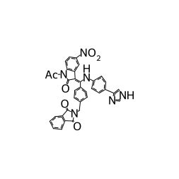 CC(=O)N1C(=O)C(=C(Nc2ccc(-c3c[nH]cn3)cc2)c2ccc(CN3C(=O)c4ccccc4C3=O)cc2)c2cc([N+](=O)[O-])ccc21